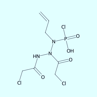 C=CCN(N(NC(=O)CCl)C(=O)CCl)P(=O)(O)Cl